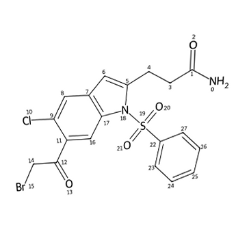 NC(=O)CCc1cc2cc(Cl)c(C(=O)CBr)cc2n1S(=O)(=O)c1ccccc1